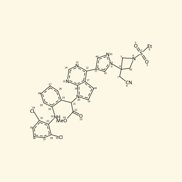 CCS(=O)(=O)N1CC(CC#N)(n2cc(-c3ncnc4c3ccn4C(C(=O)OC)c3ccccc3Nc3c(Cl)cccc3Cl)cn2)C1